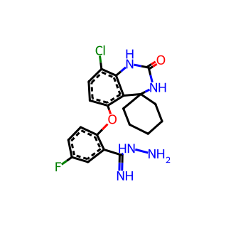 N=C(NN)c1cc(F)ccc1Oc1ccc(Cl)c2c1C1(CCCCC1)NC(=O)N2